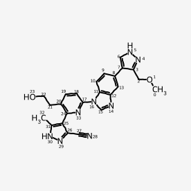 COCc1n[nH]cc1-c1ccc2c(c1)ncn2-c1ccc(CCO)c(-c2c(C#N)n[nH]c2C)n1